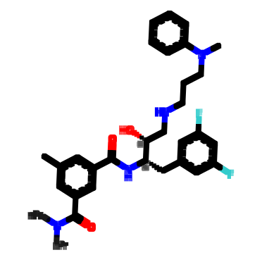 CCCN(CCC)C(=O)c1cc(C)cc(C(=O)N[C@@H](Cc2cc(F)cc(F)c2)[C@H](O)CNCCCN(C)c2ccccc2)c1